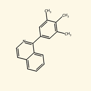 Cc1cc(-c2nccc3ccccc23)cc(C)c1C